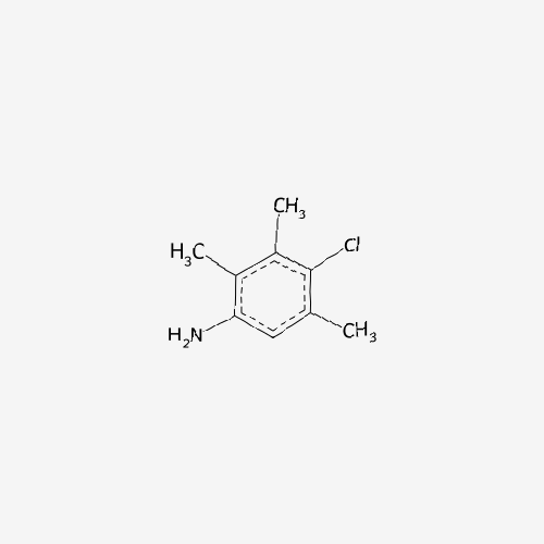 Cc1cc(N)c(C)c(C)c1Cl